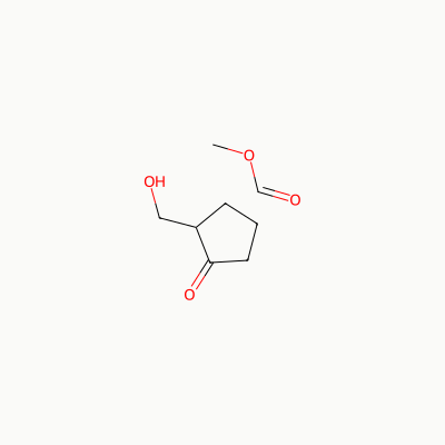 COC=O.O=C1CCCC1CO